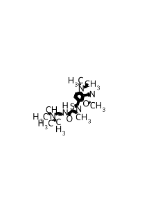 CCOc1c(-c2nc(C)c(C(=O)NCCN(C(C)C)C(C)C)s2)ccc(N(CC)CC)c1C#N